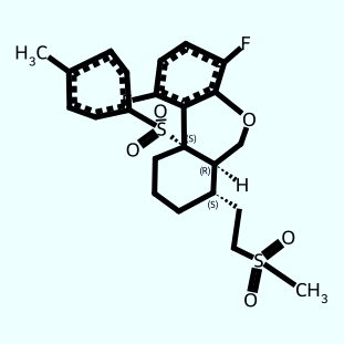 Cc1ccc(S(=O)(=O)[C@@]23CCC[C@@H](CCS(C)(=O)=O)[C@@H]2COc2c(F)ccc(F)c23)cc1